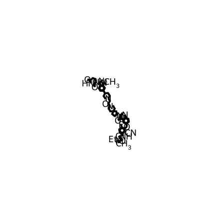 CCN(C)S(=O)(=O)Nc1ccc(F)c(Oc2ccc3ncn([C@H]4CCC5(CCN(C(=O)CN6CCC(c7ccc8c(N9CCC(=O)NC9=O)nn(C)c8c7)CC6)CC5)C4)c(=O)c3c2)c1C#N